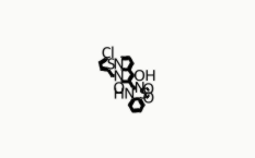 O=c1c(C2=NS(=O)(=O)c3ccccc3N2)c(O)c2cccnc2n1Cc1ccc(Cl)s1